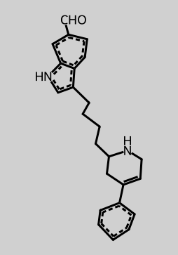 O=Cc1ccc2c(CCCCC3CC(c4ccccc4)=CCN3)c[nH]c2c1